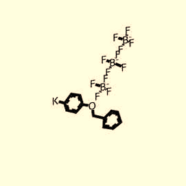 F[B-](F)(F)F.F[B-](F)(F)F.F[B-](F)(F)F.[K][c]1ccc(OCc2ccccc2)cc1